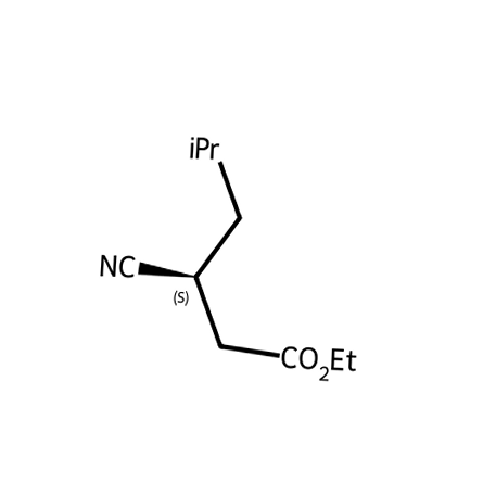 CCOC(=O)C[C@@H](C#N)CC(C)C